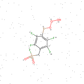 O=S(=O)(F)Cc1c(F)c(F)c(SOOO)c(F)c1F